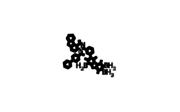 Bc1c(B)c(C)c2c(c1C)Cc1c(B)c(C)c(-c3cccc(C(=N/C(=C)c4cccc5c4-c4ccccc4C5)/N=C(\C)c4ccc(-c5ccccc5)cc4)c3)c(C)c1-2